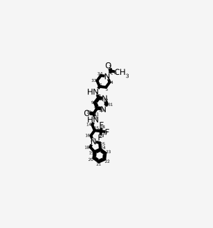 CC(=O)N1CCC(Nc2cc(C(=O)NCC(CN3Cc4ccccc4C3)C(F)(F)F)ncn2)CC1